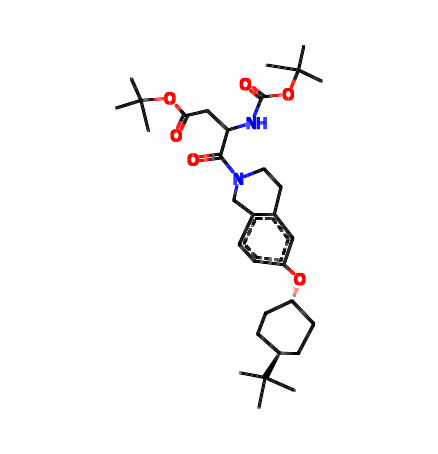 CC(C)(C)OC(=O)CC(NC(=O)OC(C)(C)C)C(=O)N1CCc2cc(O[C@H]3CC[C@H](C(C)(C)C)CC3)ccc2C1